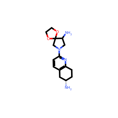 NC1CN(c2ccc3c(n2)CC[C@H](N)C3)CC12OCCO2